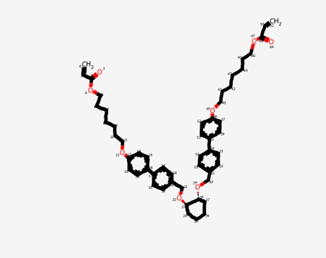 C=CC(=O)OCCCCCCCOc1ccc(-c2ccc(CO[C@@H]3CCCC[C@H]3OCc3ccc(-c4ccc(OCCCCCCCOC(=O)C=C)cc4)cc3)cc2)cc1